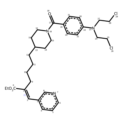 CCOC(=O)/C(=C/c1cccnc1)CCCCC1CCN(C(=O)c2ccc(N(CCCl)CCCl)cc2)CC1